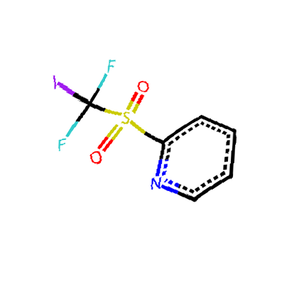 O=S(=O)(c1ccccn1)C(F)(F)I